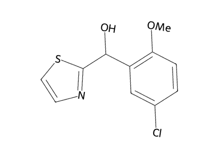 COc1ccc(Cl)cc1C(O)c1nccs1